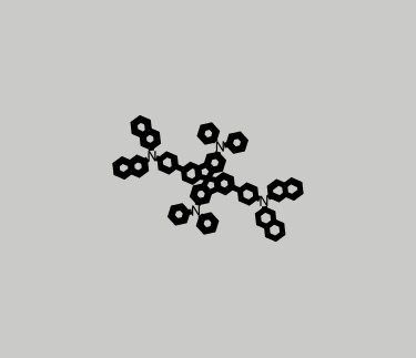 C1=CC2C=CC(N(C3C=CC(c4ccc5c(c4)-c4cc(N(c6ccccc6)c6ccccc6)ccc4C54C5=C(C=C(C6=CCC(N(c7ccc8ccccc8c7)c7ccc8ccccc8c7)C=C6)CC5)c5cc(N(c6ccccc6)c6ccccc6)ccc54)CC3)C3CCC4CCCCC4C3)=CC2C=C1